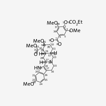 CCOC(=O)Oc1c(OC)cc(C(=O)O[C@@H]2C[C@@H]3CN4CCc5c([nH]c6cc(OC)ccc56)[C@H]4C[C@@H]3[C@H](C(=O)OC)[C@H]2OC)cc1OC